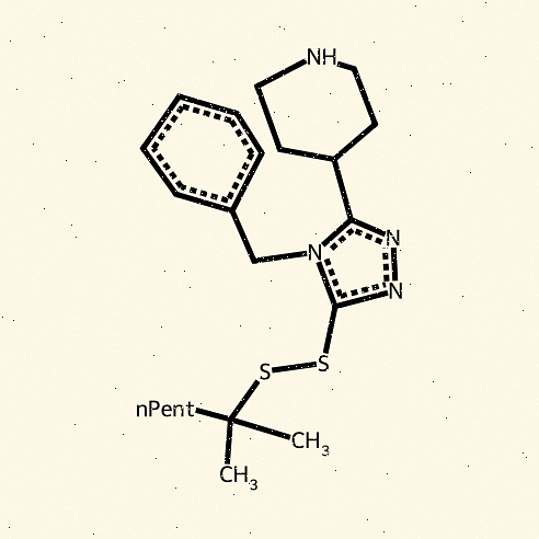 CCCCCC(C)(C)SSc1nnc(C2CCNCC2)n1Cc1ccccc1